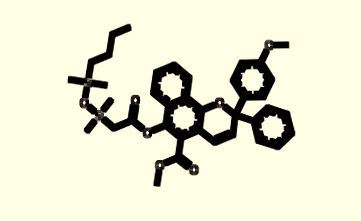 CCCC[Si](C)(C)O[Si](C)(C)CC(=O)Oc1c(C(=O)OC)c2c(c3ccccc13)OC(c1ccccc1)(c1ccc(OC)cc1)C=C2